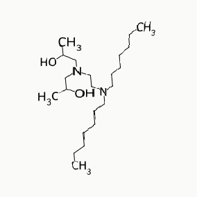 CCCCCCCN(CCCCCCC)CCN(CC(C)O)CC(C)O